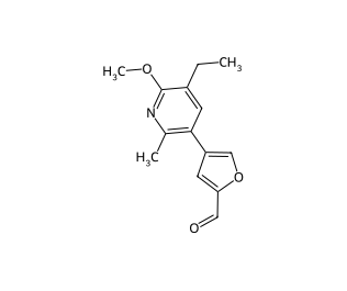 CCc1cc(-c2coc(C=O)c2)c(C)nc1OC